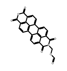 O=COCN1C(=O)c2ccc3c4ccc5c6c(ccc(c7ccc(c2c37)C1=O)c64)C(=O)OC5=O